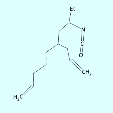 C=CCCCC(CC=C)CC(CC)N=C=O